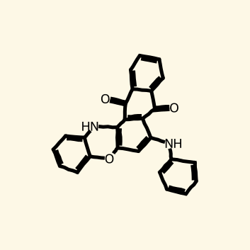 O=c1c2ccccc2c(=O)c2c1c(Nc1ccccc1)cc1oc3ccccc3[nH]c12